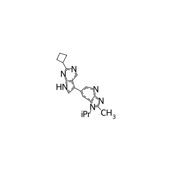 Cc1nc2ncc(-c3c[nH]c4nc(C5CCC5)ncc34)cc2n1C(C)C